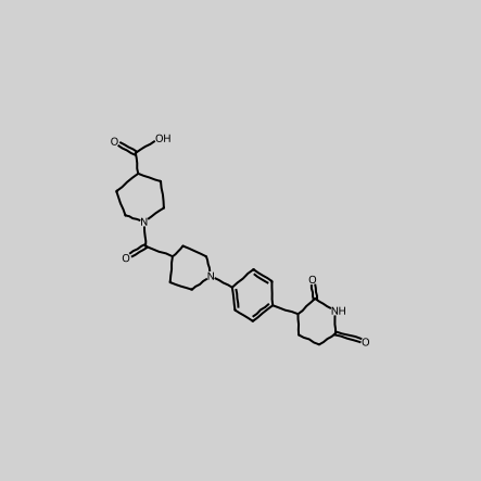 O=C1CCC(c2ccc(N3CCC(C(=O)N4CCC(C(=O)O)CC4)CC3)cc2)C(=O)N1